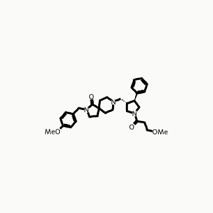 COCCC(=O)N1C[C@H](CN2CCC3(CC2)CCN(Cc2ccc(OC)cc2)C3=O)[C@@H](c2ccccc2)C1